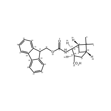 CC1(C)[C@H]2C[C@@H]1[C@H](NC(=O)OCC1c3ccccc3-c3ccccc31)[C@H](C(=O)O)C2